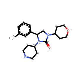 Cc1cccc(C2CN(C3CCOCC3)C(=O)N2C2CCNCC2)c1